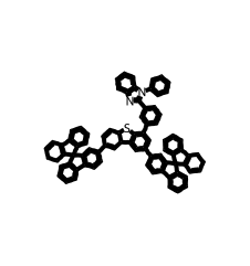 C1=CC2=C(CC1)c1ccccc1C21c2ccccc2-c2ccc(-c3cc(-c4cccc(-c5nc6ccccc6n5-c5ccccc5)c4)c4c(c3)C3C=C(c5ccc6c(c5)C5(C7=C(C=CCC7)c7ccccc75)c5ccccc5-6)C=CC3S4)cc21